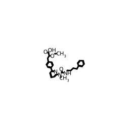 CCOC(Cc1ccc(-c2cccc(N(C)C(=O)NCCCCc3ccccc3)n2)cc1)C(=O)O